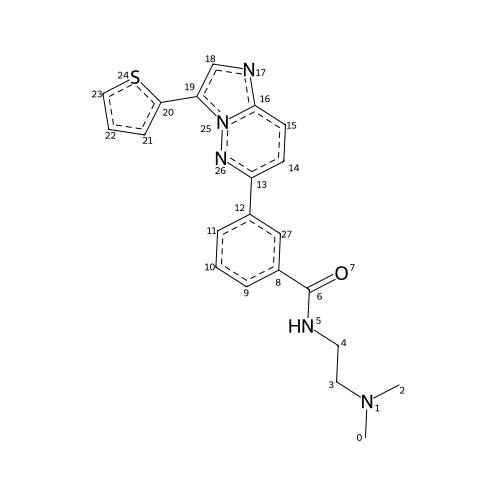 CN(C)CCNC(=O)c1cccc(-c2ccc3ncc(-c4cccs4)n3n2)c1